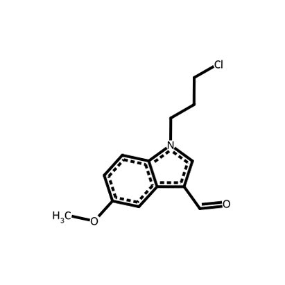 COc1ccc2c(c1)c(C=O)cn2CCCCl